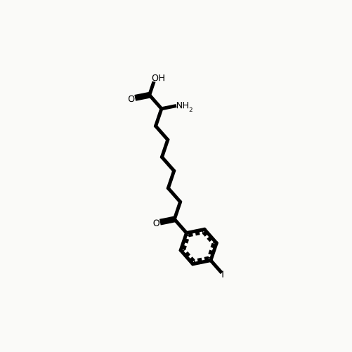 NC(CCCCCCC(=O)c1ccc(I)cc1)C(=O)O